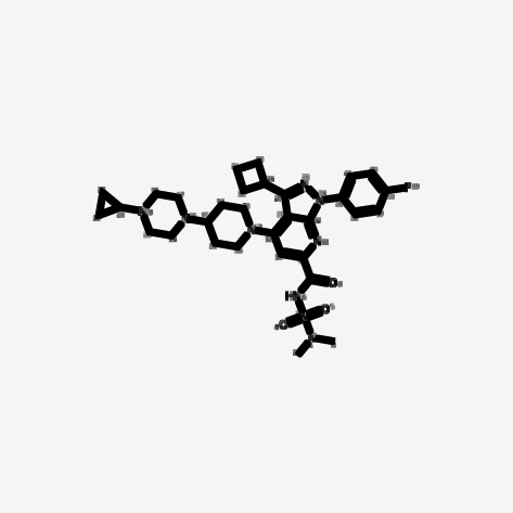 CN(C)S(=O)(=O)NC(=O)c1cc(N2CCC(N3CCN(C4CC4)CC3)CC2)c2c(C3CCC3)nn(-c3ccc(F)cc3)c2n1